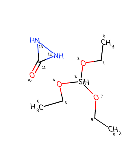 CCO[SiH](OCC)OCC.O=C1NN1